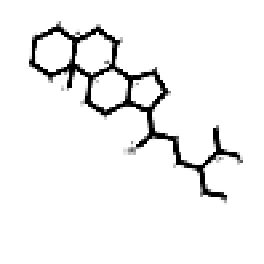 CCC(CCC(S)C1CCC2C1CCC1C2CCC2CCCCC21C)C(C)C